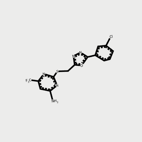 Nc1cc(C(F)(F)F)nc(SCc2nnc(-c3cccc(Cl)c3)o2)n1